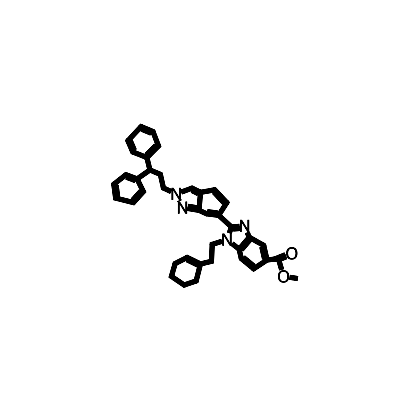 COC(=O)c1ccc2c(c1)nc(-c1ccc3cn(CCC(c4ccccc4)c4ccccc4)nc3c1)n2CCC1=CCCCC1